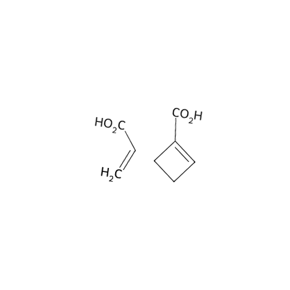 C=CC(=O)O.O=C(O)C1=CCC1